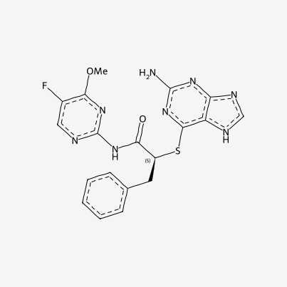 COc1nc(NC(=O)[C@H](Cc2ccccc2)Sc2nc(N)nc3nc[nH]c23)ncc1F